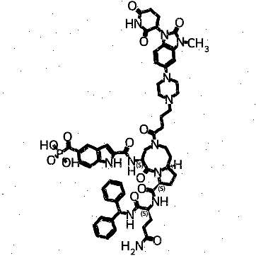 Cn1c(=O)n(C2CCC(=O)NC2=O)c2ccc(N3CCN(CCCC(=O)N4CC[C@H]5CC[C@@H](C(=O)N[C@@H](CCC(N)=O)C(=O)NC(c6ccccc6)c6ccccc6)N5C(=O)[C@@H](NC(=O)c5cc6cc(C(=O)P(=O)(O)O)ccc6[nH]5)C4)CC3)cc21